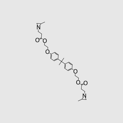 CC1CN1CCC(=O)OCCOc1ccc(C(C)(C)c2ccc(OCCOC(=O)CCN3CC3C)cc2)cc1